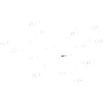 COc1cc(OC)c(CS[C@@H](C(=O)OC(C)(C)C)[C@H](C)C(=O)O)c(OC)c1